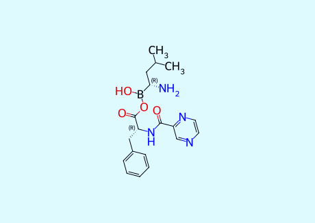 CC(C)C[C@H](N)B(O)OC(=O)[C@@H](Cc1ccccc1)NC(=O)c1cnccn1